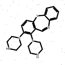 C1=Nc2ccccc2Sc2ccc(N3CCNCC3)c(N3CCNCC3)c21